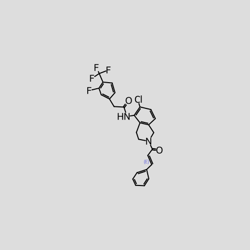 O=C(Cc1ccc(C(F)(F)F)c(F)c1)Nc1c(Cl)ccc2c1CCN(C(=O)/C=C/c1ccccc1)C2